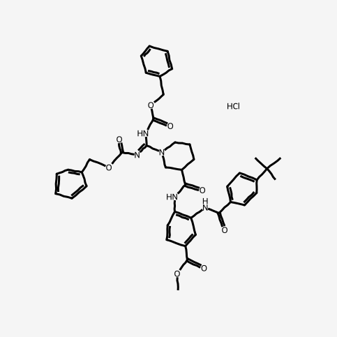 COC(=O)c1ccc(NC(=O)C2CCCN(C(=NC(=O)OCc3ccccc3)NC(=O)OCc3ccccc3)C2)c(NC(=O)c2ccc(C(C)(C)C)cc2)c1.Cl